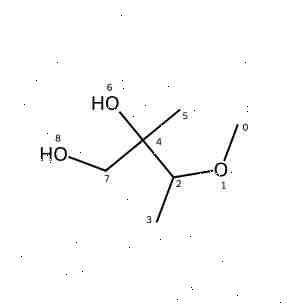 COC(C)C(C)(O)CO